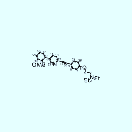 CCN(CC)CCOc1ccc(C#Cc2ccc(-c3ccccc3OC)cn2)cc1